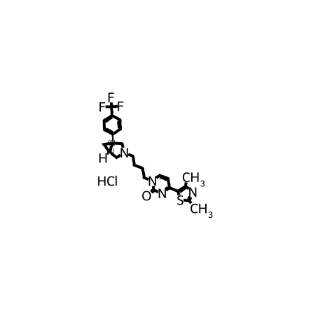 Cc1nc(C)c(-c2ccn(CCCCN3C[C@@H]4C[C@]4(c4ccc(C(F)(F)F)cc4)C3)c(=O)n2)s1.Cl